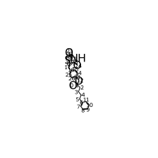 O=C(CCCCc1ccccc1)Oc1ccc(C=C2SC(=O)NC2=O)cc1